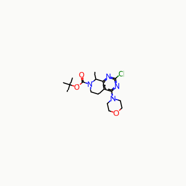 CC1c2nc(Cl)nc(N3CCOCC3)c2CCN1C(=O)OC(C)(C)C